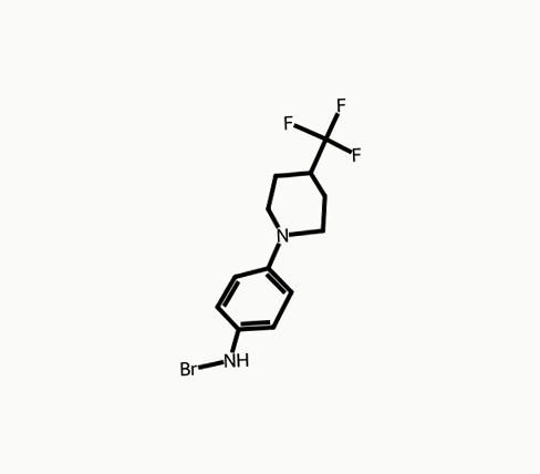 FC(F)(F)C1CCN(c2ccc(NBr)cc2)CC1